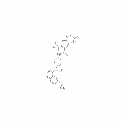 COc1ccc2nccc(-n3ncc4c3CCC(NC(=O)c3cc5c(cc3C(F)(F)F)SCC(=O)N5)C4)c2c1